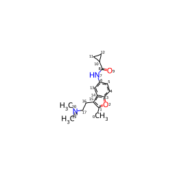 Cc1oc2ccc(NC(=O)C3CC3)cc2c1CCN(C)C